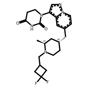 C[C@H]1C[C@H](Cc2ccn3ncc(N4CCC(=O)NC4=O)c3c2)CCN1CC1CC(F)(F)C1